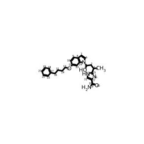 CC(CC(O)n1ccc2ccc(OCCCCc3ccccc3)cc21)c1nc(C(N)=O)c[nH]1